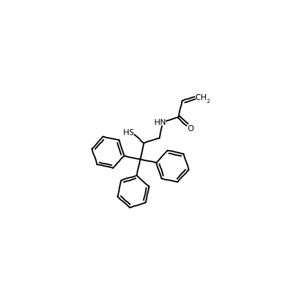 C=CC(=O)NCC(S)C(c1ccccc1)(c1ccccc1)c1ccccc1